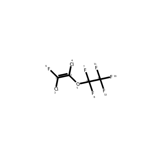 FC(Cl)=C(Cl)OC(F)(F)C(F)(F)F